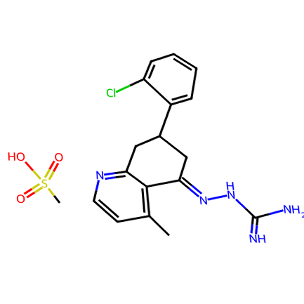 CS(=O)(=O)O.Cc1ccnc2c1C(=NNC(=N)N)CC(c1ccccc1Cl)C2